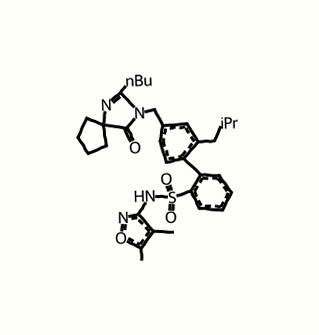 CCCCC1=NC2(CCCC2)C(=O)N1Cc1ccc(-c2ccccc2S(=O)(=O)Nc2noc(C)c2C)c(CC(C)C)c1